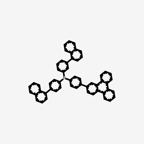 c1cc(-c2cccc3ccccc23)cc(N(c2ccc(-c3ccc4c5ccccc5c5ccccc5c4c3)cc2)c2ccc(-c3cccc4ccccc34)cc2)c1